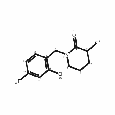 O=C1C(F)CCCN1Cc1ccc(F)cc1Cl